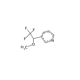 COC(c1cccnc1)C(F)(F)F